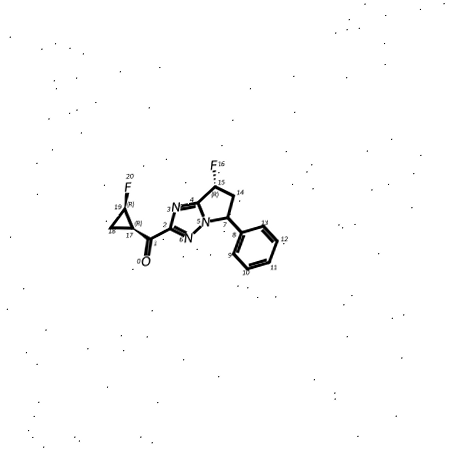 O=C(c1nc2n(n1)C(c1ccccc1)C[C@H]2F)[C@H]1C[C@H]1F